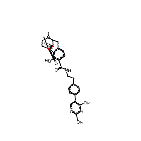 CN1CC[C@]23CC(=O)CC[C@@]2(O)C1Cc1ccc(C(=O)NCCc2ccc(-c4cnc(O)nc4O)cc2)c(O)c13